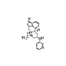 CN1CC(Nc2cccnc2)C[C@@H]2c3cccc4[nH]cc(c34)C[C@H]21